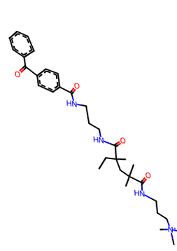 CCC(C)(CC(C)(C)C(=O)NCCC[N+](C)(C)C)C(=O)NCCCNC(=O)c1ccc(C(=O)c2ccccc2)cc1